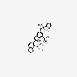 CC(C)c1c(-c2cc3cc(CC(C)(C)c4ccco4)cc(C(C)C)c3[nH]2)ccc2c1OCC2